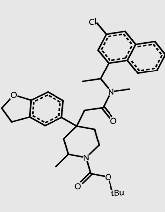 CC(c1cc(Cl)cc2ccccc12)N(C)C(=O)CC1(c2ccc3c(c2)CCO3)CCN(C(=O)OC(C)(C)C)C(C)C1